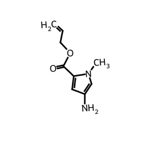 C=CCOC(=O)c1cc(N)cn1C